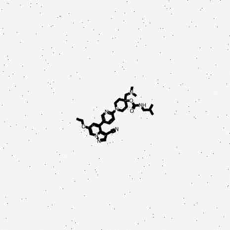 CCOc1cc(-c2ccc(N3CCC(CN(C)C)(OC(=O)NCC(C)C)CC3)nc2)c2c(C#N)cnn2c1